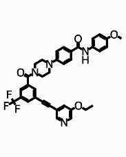 CCOc1cncc(C#Cc2cc(C(=O)N3CCN(c4ccc(C(=O)Nc5ccc(OC)cc5)cc4)CC3)cc(C(F)(F)F)c2)c1